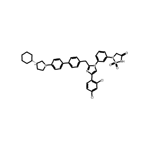 O=C1CN(c2cccc(-n3cc(-c4ccc(Cl)cc4Cl)nc3Cc3ccc(-c4ccc(N5CC[C@H](C6CCCCC6)C5)cc4)cc3)c2)S(=O)(=O)N1